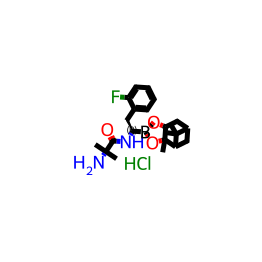 CC(C)(N)C(=O)N[C@@H](Cc1ccccc1F)B1OC2CC3CC(C3(C)C)C2(C)O1.Cl